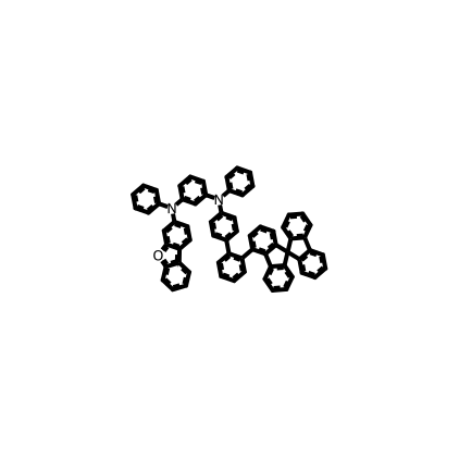 c1ccc(N(c2ccc(-c3ccccc3-c3cccc4c3-c3ccccc3C43c4ccccc4-c4ccccc43)cc2)c2cccc(N(c3ccccc3)c3ccc4c(c3)oc3ccccc34)c2)cc1